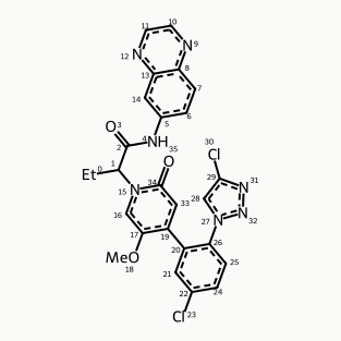 CCC(C(=O)Nc1ccc2nccnc2c1)n1cc(OC)c(-c2cc(Cl)ccc2-n2cc(Cl)nn2)cc1=O